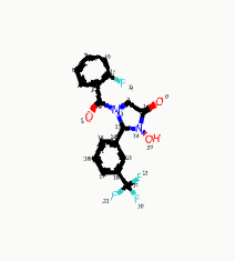 O=C1CN(C(=O)c2ccccc2F)C(c2cccc(C(F)(F)F)c2)N1O